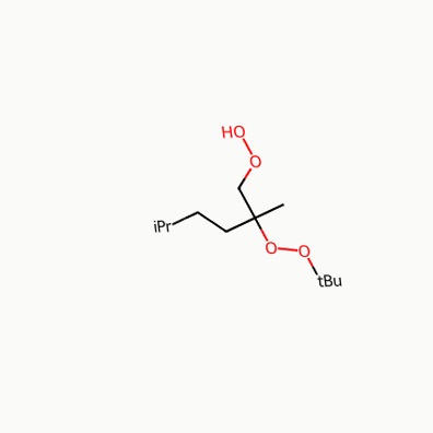 CC(C)CCC(C)(COO)OOC(C)(C)C